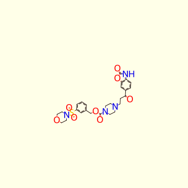 O=C(CCN1CCN(C(=O)OCc2cccc(S(=O)(=O)N3CCOCC3)c2)CC1)c1ccc2[nH]c(=O)oc2c1